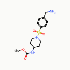 CC(C)(C)OC(=O)NC1CCN(S(=O)(=O)c2ccc(CN)cc2)CC1